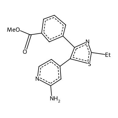 CCc1nc(-c2cccc(C(=O)OC)c2)c(-c2ccnc(N)c2)s1